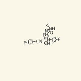 Cc1cc(F)ccc1Nc1cc(S(=O)(=O)NC2CC2)ncc1C(=O)N1CCC(c2ccc(F)cc2)CC1